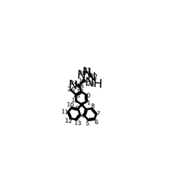 C1=CC(c2ccccc2)(c2ccccc2)CC2=C1C(c1nnn[nH]1)=NC2